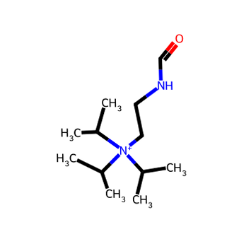 CC(C)[N+](CCNC=O)(C(C)C)C(C)C